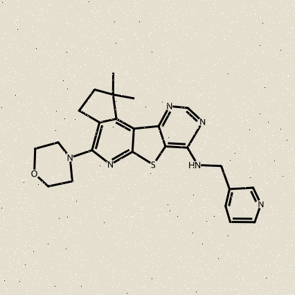 CC1(C)CCc2c(N3CCOCC3)nc3sc4c(NCc5cccnc5)ncnc4c3c21